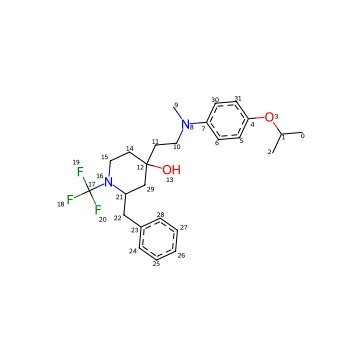 CC(C)Oc1ccc(N(C)CCC2(O)CCN(C(F)(F)F)C(Cc3ccccc3)C2)cc1